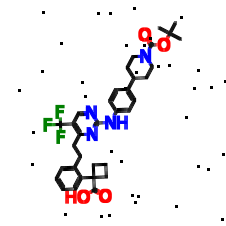 CC(C)(C)OC(=O)N1CCC(c2ccc(Nc3ncc(C(F)(F)F)c(CCc4ccccc4C4(C(=O)O)CCC4)n3)cc2)CC1